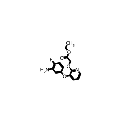 CCOC(=O)COc1ncccc1Oc1ccc(F)c(N)c1